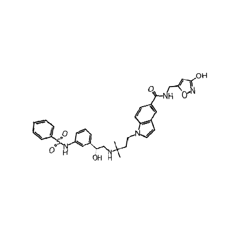 CC(C)(CCn1ccc2cc(C(=O)NCc3cc(O)no3)ccc21)NC[C@H](O)c1cccc(NS(=O)(=O)c2ccccc2)c1